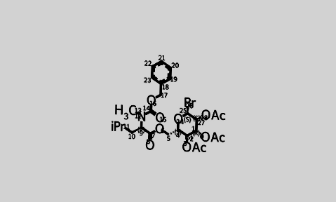 CC(=O)O[C@@H]1[C@@H](OC(C)=O)[C@H](COC(=O)[C@@H](CC(C)C)N(C)C(=O)OCc2ccccc2)O[C@@H](Br)[C@H]1OC(C)=O